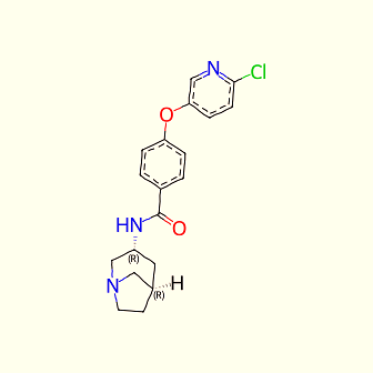 O=C(N[C@@H]1C[C@H]2CCN(C2)C1)c1ccc(Oc2ccc(Cl)nc2)cc1